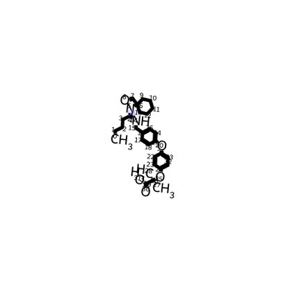 CCCC/C(=N/C1(C=O)CCCCC1)NCc1ccc(Oc2ccc(OC(C)(C)C(=O)O)cc2)cc1